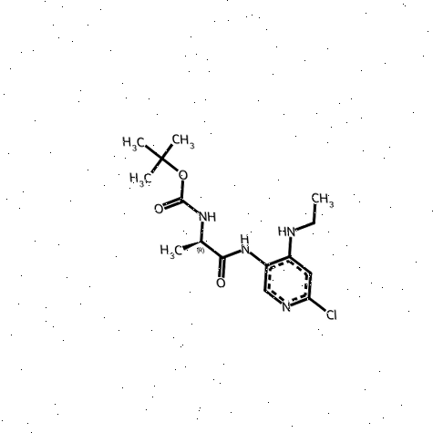 CCNc1cc(Cl)ncc1NC(=O)[C@@H](C)NC(=O)OC(C)(C)C